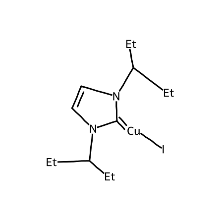 CCC(CC)n1ccn(C(CC)CC)[c]1=[Cu][I]